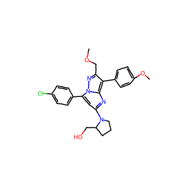 COCc1nn2c(-c3ccc(Cl)cc3)cc(N3CCCC3CO)nc2c1-c1ccc(OC)cc1